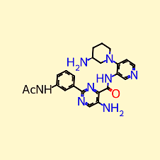 CC(=O)Nc1cccc(-c2ncc(N)c(C(=O)Nc3cnccc3N3CCC[C@H](N)C3)n2)c1